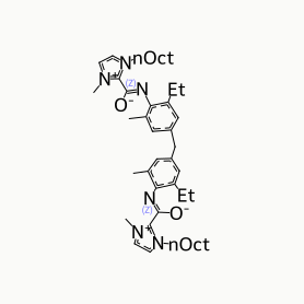 CCCCCCCCn1cc[n+](C)c1/C([O-])=N/c1c(C)cc(Cc2cc(C)c(/N=C(\[O-])c3n(CCCCCCCC)cc[n+]3C)c(CC)c2)cc1CC